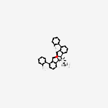 CC1=Cc2c(-c3ccccc3C(C)(C)C)cccc2[CH]1[Zr]([CH3])([CH3])(=[SiH2])[CH]1C(C)=Cc2c(-c3ccccc3C(C)(C)C)cccc21.Cl.Cl